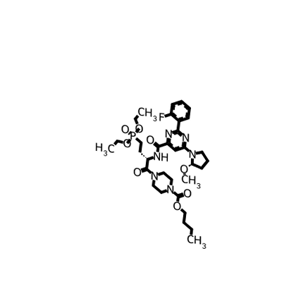 CCCCOC(=O)N1CCN(C(=O)[C@H](CCP(=O)(OCC)OCC)NC(=O)c2cc(N3CCC[C@@H]3OC)nc(-c3ccccc3F)n2)CC1